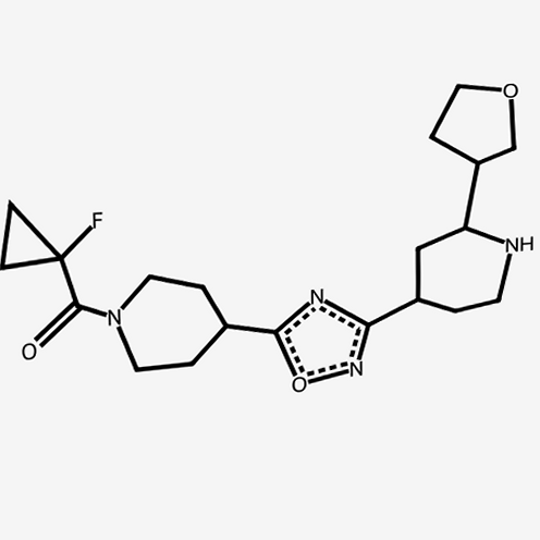 O=C(N1CCC(c2nc(C3CCNC(C4CCOC4)C3)no2)CC1)C1(F)CC1